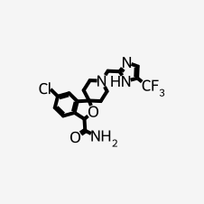 NC(=O)C1OC2(CCN(Cc3ncc(C(F)(F)F)[nH]3)CC2)c2cc(Cl)ccc21